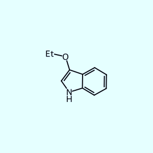 CCOc1c[nH]c2ccccc12